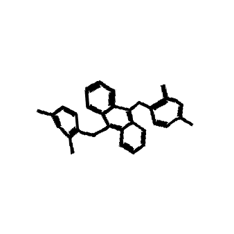 Cc1ccc(Cc2c3ccccc3c(Cc3ccc(C)cc3C)c3ccccc23)c(C)c1